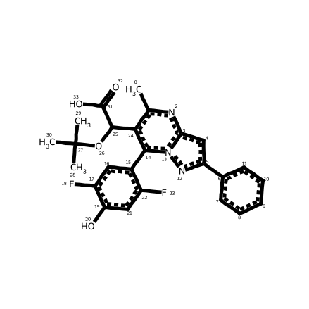 Cc1nc2cc(-c3ccccc3)nn2c(-c2cc(F)c(O)cc2F)c1C(OC(C)(C)C)C(=O)O